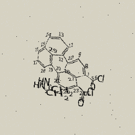 C=N.C=N.O=C(Cl)c1ccc2c3cccc4cccc(c5ccc(C(=O)Cl)c1c25)c43